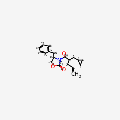 C=CCC(CC1CC1)C(=O)N1C(=O)OCC1Cc1ccccc1